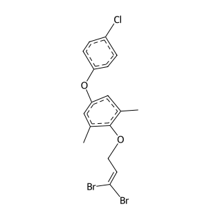 Cc1cc(Oc2ccc(Cl)cc2)cc(C)c1OCC=C(Br)Br